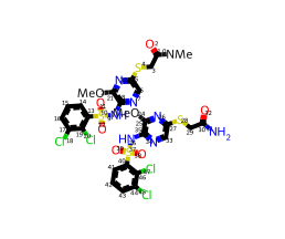 CNC(=O)CSc1cnc(NS(=O)(=O)c2cccc(Cl)c2Cl)c(OC)n1.COc1nc(SCC(N)=O)cnc1NS(=O)(=O)c1cccc(Cl)c1Cl